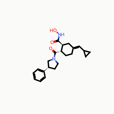 O=C(NO)[C@H]1CC(=CC2CC2)CC[C@@H]1C(=O)N1CC[C@H](c2ccccc2)C1